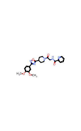 COc1ccc(-c2noc(C3CCN(C(=O)CNC(=O)c4ccccn4)CC3)n2)cc1OC